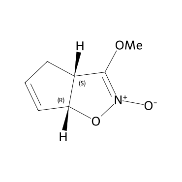 COC1=[N+]([O-])O[C@@H]2C=CC[C@H]12